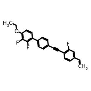 C=Cc1ccc(C#Cc2ccc(-c3ccc(OCC)c(F)c3F)cc2)c(F)c1